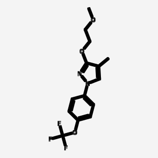 COCCOc1nn(-c2ccc(OC(F)(F)F)cc2)cc1C